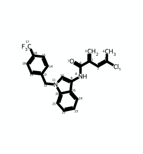 C=C(/C=C(\C)Cl)C(=O)Nc1cn(Cc2ccc(C(F)(F)F)cc2)c2ccccc12